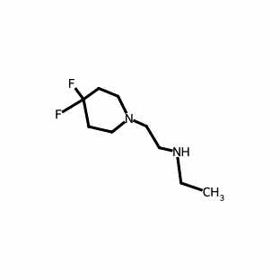 CCNCCN1CCC(F)(F)CC1